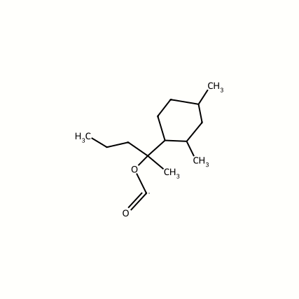 CCCC(C)(O[C]=O)C1CCC(C)CC1C